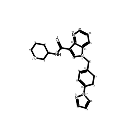 O=C(NC1CCCOC1)c1cn(CC2=CC=C(n3cccn3)CC2)c2cccnc12